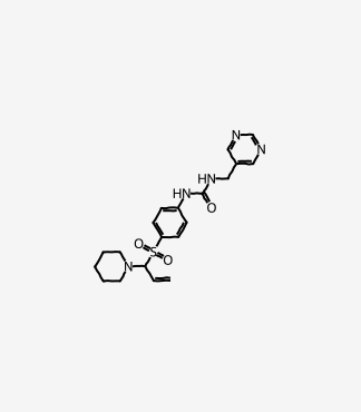 C=CC(N1CCCCC1)S(=O)(=O)c1ccc(NC(=O)NCc2cncnc2)cc1